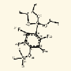 CCO[Si](OCC)(OCC)c1c(F)c(F)c(O[Si](C)(C)C)c(F)c1F